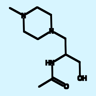 CC(=O)NC(CO)CN1CCN(C)CC1